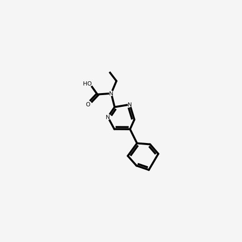 CCN(C(=O)O)c1ncc(-c2ccccc2)cn1